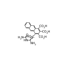 NC(=O)NC(N)=O.O=C(O)c1c(C(=O)O)c(C(=O)O)c2cc3ccccc3cc2c1C(=O)O